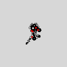 CCCSSCCOC(=O)O[C@@H](C(=O)O[C@H]1C[C@@]2(O)[C@@H](OC(=O)c3ccccc3)[C@@H]3[C@]4(OC(C)=O)CO[C@@H]4C[C@H](OC)[C@@]3(C)C(=O)[C@H](OC)C(=C1C)C2(C)C)[C@@H](NC(=O)OC(C)(C)C)c1ccccc1